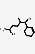 CC(C)C(C(C)CCC(N)O)C1C=CCCC1